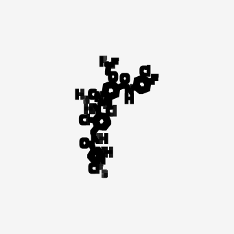 Cn1c(Nc2c(Cl)ccc(CNC(=O)c3cc(C(F)(F)F)n[nH]3)c2Cl)nc2cc(C(=O)Nc3ccc(F)c(Cl)c3)c(OCC(F)F)cc21